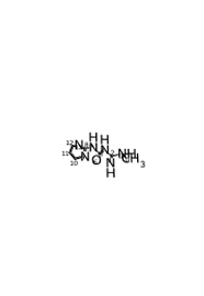 CNC(=N)NC(=O)Nc1ncccn1